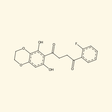 O=C(CCC(=O)c1c(O)cc2c(c1O)OCCO2)c1ccccc1F